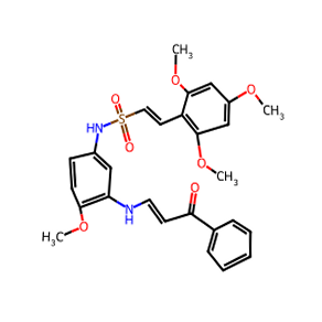 COc1cc(OC)c(C=CS(=O)(=O)Nc2ccc(OC)c(NC=CC(=O)c3ccccc3)c2)c(OC)c1